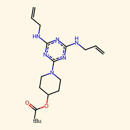 C=CCNc1nc(NCC=C)nc(N2CCC(OC(=O)C(C)(C)C)CC2)n1